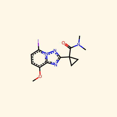 COc1ccc(I)n2nc(C3(C(=O)N(C)C)CC3)nc12